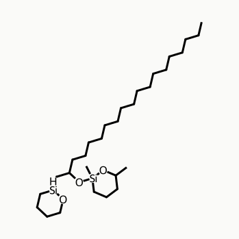 CCCCCCCCCCCCCCCCCC(C[SiH]1CCCCO1)O[Si]1(C)CCCC(C)O1